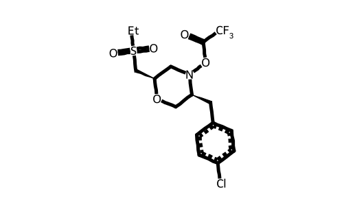 CCS(=O)(=O)C[C@H]1CN(OC(=O)C(F)(F)F)[C@@H](Cc2ccc(Cl)cc2)CO1